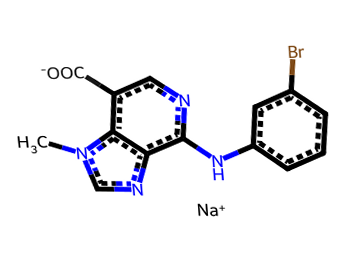 Cn1cnc2c(Nc3cccc(Br)c3)ncc(C(=O)[O-])c21.[Na+]